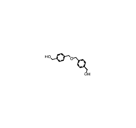 OCc1ccc(COCc2ccc(CO)cc2)cc1